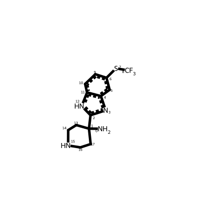 NC1(c2nc3cc(SC(F)(F)F)ccc3[nH]2)CCNCC1